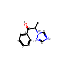 CC(C(=O)c1ccccc1)n1cncn1